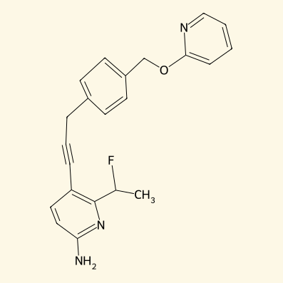 CC(F)c1nc(N)ccc1C#CCc1ccc(COc2ccccn2)cc1